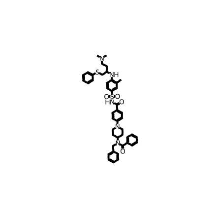 Cc1cc(S(=O)(=O)NC(=O)c2ccc(N3CCC(N(Cc4ccccc4)C(=O)c4ccccc4)CC3)cc2)ccc1NC(CCN(C)C)CSc1ccccc1